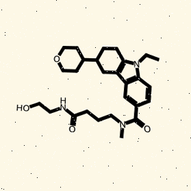 CCn1c2c(c3cc(C(=O)N(C)CCCC(=O)NCCO)ccc31)CC(C1CCOCC1)CC2